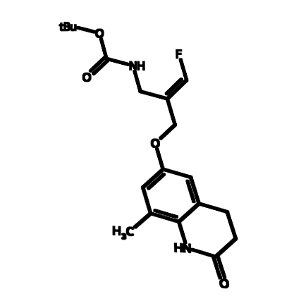 Cc1cc(OC/C(=C/F)CNC(=O)OC(C)(C)C)cc2c1NC(=O)CC2